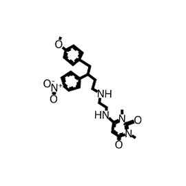 COc1ccc(CC(CCNCCNc2cc(=O)n(C)c(=O)n2C)c2ccc([N+](=O)[O-])cc2)cc1